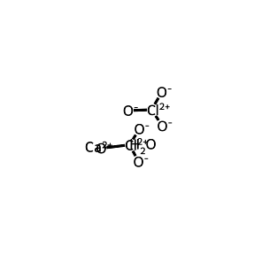 O.[Ca+2].[O-][Cl+2]([O-])[O-].[O-][Cl+2]([O-])[O-]